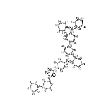 c1ccc(-c2cccc(-c3nnc(-c4ccc(-n5c6ccccc6c6cc(-c7ccc8c(c7)c7ccccc7n8-c7ccccc7)ccc65)cc4)o3)c2)cc1